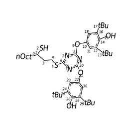 CCCCCCCCC(S)CCSc1nc(Oc2cc(C(C)(C)C)c(O)c(C(C)(C)C)c2)nc(Oc2cc(C(C)(C)C)c(O)c(C(C)(C)C)c2)n1